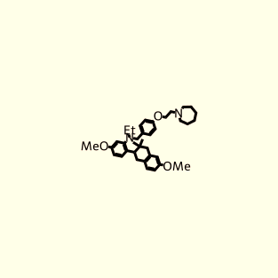 CCN(Cc1ccc(OCCN2CCCCCC2)cc1)c1cc(OC)ccc1C1Cc2ccc(OC)cc2CC1(C)C